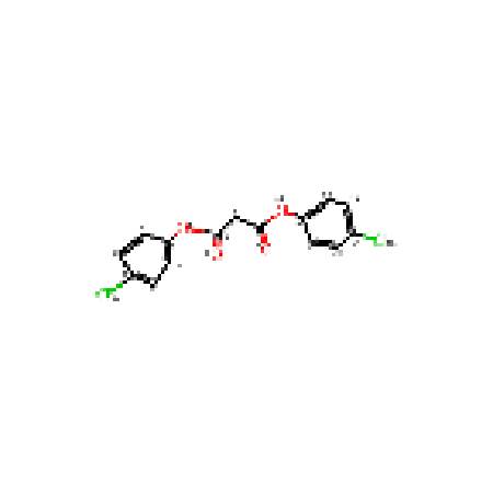 O=C(CC(=O)Oc1ccc(Cl)cc1)Oc1ccc(Cl)cc1